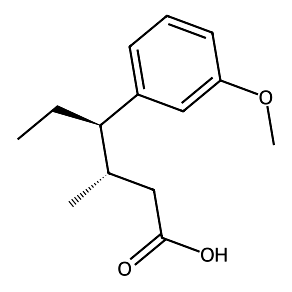 CC[C@@H](c1cccc(OC)c1)[C@@H](C)CC(=O)O